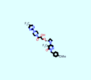 COc1ccc(Cn2ncc(N3CC[C@H]3COCC(O)C(=O)N3CCN(c4ncc(C(F)(F)F)cn4)CC3)c(C(F)(F)F)c2=O)cc1